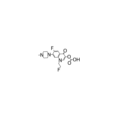 CN1CCN(c2cc3c(cc2F)c(=O)c(OC(=O)O)cn3CCF)CC1